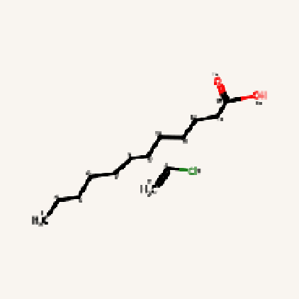 C=CCl.CCCCCCCCCCCC(=O)O